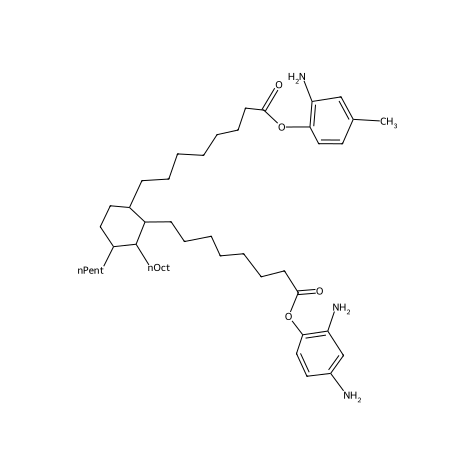 CCCCCCCCC1C(CCCCC)CCC(CCCCCCCC(=O)Oc2ccc(C)cc2N)C1CCCCCCCC(=O)Oc1ccc(N)cc1N